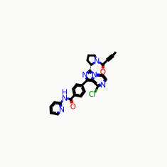 CC#CC(=O)N1CCC[C@H]1c1nc(-c2ccc(C(=O)Nc3ccccn3)cc2)c2c(Cl)nccn12